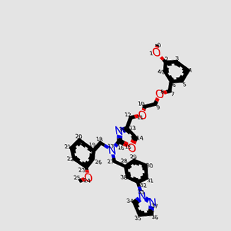 COc1cccc(COCCOCc2coc(N(Cc3cccc(OC)c3)Cc3cccc(-n4cccn4)c3)n2)c1